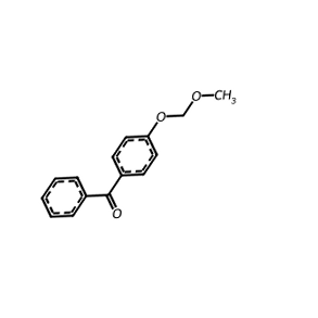 COCOc1ccc(C(=O)c2ccccc2)cc1